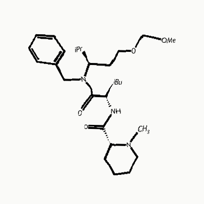 CC[C@H](C)[C@H](NC(=O)[C@H]1CCCCN1C)C(=O)N(Cc1ccccc1)[C@H](CCOCOC)C(C)C